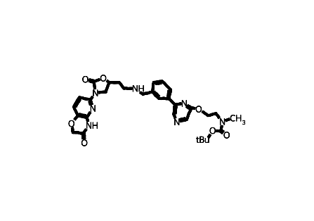 CN(CCOc1cncc(-c2cccc(CNCCC3CN(c4ccc5c(n4)NC(=O)CO5)C(=O)O3)c2)n1)C(=O)OC(C)(C)C